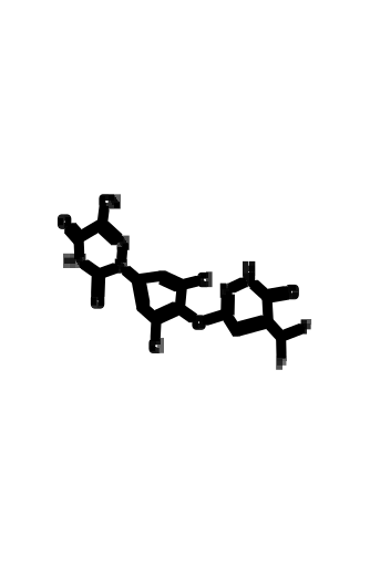 N#Cc1nn(-c2cc(Cl)c(Oc3cc(C(F)F)c(=O)[nH]n3)c(Cl)c2)c(=O)[nH]c1=O